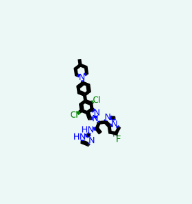 C=C(Nc1ncc[nH]1)C(c1ncn2c1C[C@@H](F)C2)n1cc2c(Cl)cc(-c3ccc(N4CCC(C)CC4)cc3)c(Cl)c2n1